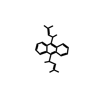 CC(C)=CC(C)c1c2ccccc2c(C(C)C=C(C)C)c2ccccc12